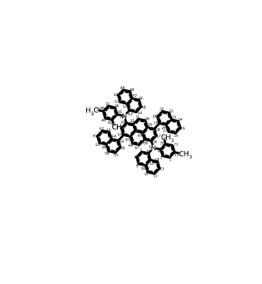 Cc1ccc(N(c2cccc3ccccc23)c2cc(-c3cccc4ccccc34)c3ccc4c(N(c5ccc(C)cc5C)c5cccc6ccccc56)cc(-c5cccc6ccccc56)c5ccc2c3c54)c(C)c1